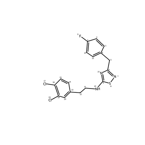 Fc1ccc(Cc2nsc(NCCc3ccc(Cl)c(Cl)c3)n2)cc1